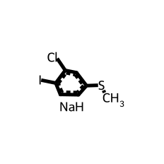 CSc1ccc(I)c(Cl)c1.[NaH]